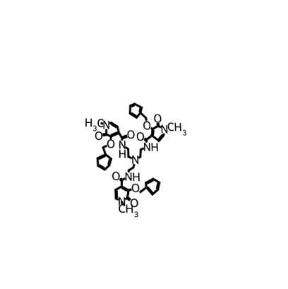 Cn1ccc(C(=O)NCCN(CCNC(=O)c2ccn(C)c(=O)c2OCc2ccccc2)CCNC(=O)c2ccn(C)c(=O)c2OCc2ccccc2)c(OCc2ccccc2)c1=O